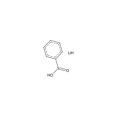 O=S(O)c1ccccc1.[LiH]